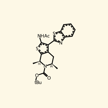 CC(=O)Nc1sc2c(c1-c1nc3ccccc3s1)C[C@@H](C)N(C(=O)OC(C)(C)C)[C@H]2C